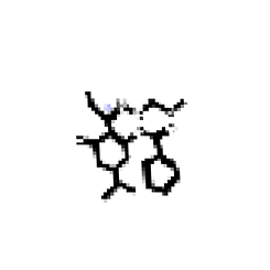 CC/C(=N/OCSC)C1=C(OC(=O)c2ccccc2)CC(C(C)C)CC1=O